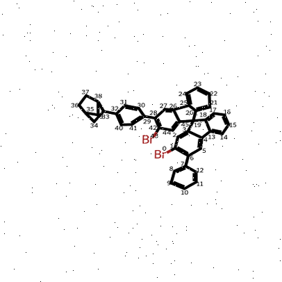 Brc1cc2c(cc1-c1ccccc1)-c1ccccc1C21c2ccccc2-c2cc(-c3ccc(C4CC5CCC4C5)cc3)c(Br)cc21